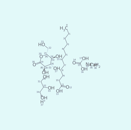 CCCCCCCCCCCC(=O)O.O=C(O)O.O=C1O[C@H](CO)[C@@H](O)[C@H](O)[C@H]1O.OCC(O)CO.[CaH2].[H+].[H+].[Na+]